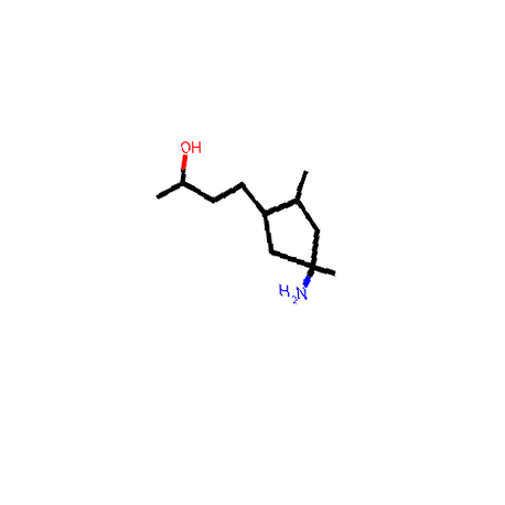 CC(O)CCC1CC(C)(N)CC1C